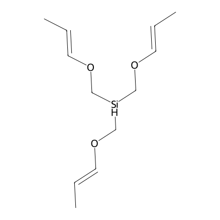 CC=COC[SiH](COC=CC)COC=CC